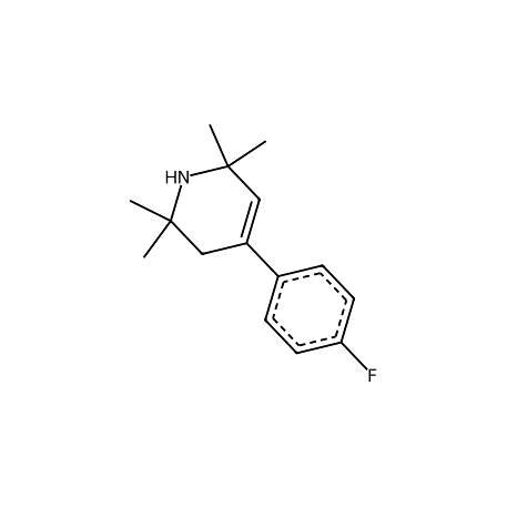 CC1(C)C=C(c2ccc(F)cc2)CC(C)(C)N1